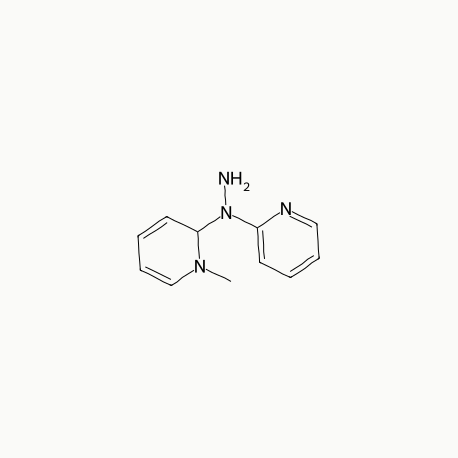 CN1C=CC=CC1N(N)c1ccccn1